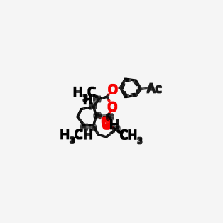 CC(=O)c1ccc(OC2O[C@@H]3O[C@@]4(C)CC[C@H]5[C@H](C)CC[C@@H]([C@H]2C)[C@@]35OO4)cc1